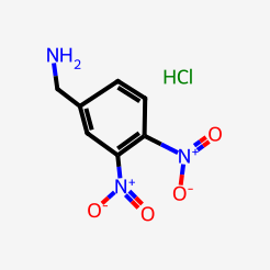 Cl.NCc1ccc([N+](=O)[O-])c([N+](=O)[O-])c1